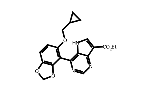 CCOC(=O)c1c[nH]c2c(-c3c(OCC4CC4)ccc4c3OCO4)ncnc12